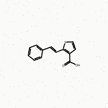 O=C(O)c1ccsc1C=Cc1ccccc1